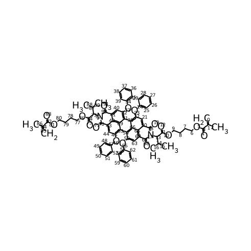 C=C(C)C(=O)OCCCCOC(=O)C(C(C)C)N1C(=O)c2cc(Oc3ccccc3)c3c4c(Oc5ccccc5)cc5c6c(cc(Oc7ccccc7)c(c7c(Oc8ccccc8)cc(c2c37)C1=O)c64)C(=O)N(C(C(=O)OCCCCOC(=O)C(=C)C)C(C)C)C5=O